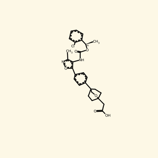 Cc1noc(-c2ccc(C34CCC(CC(=O)O)(CC3)OC4)cc2)c1NC(=O)O[C@H](C)c1ccccc1Cl